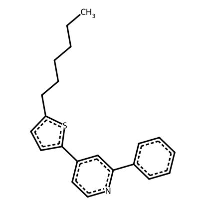 CCCCCCc1ccc(-c2ccnc(-c3ccccc3)c2)s1